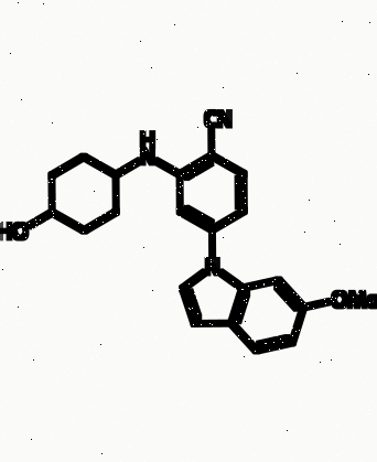 COc1ccc2ccn(-c3ccc(C#N)c(NC4CCC(O)CC4)c3)c2c1